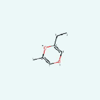 CCC1=COC=C(C)O1